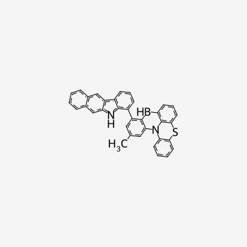 Cc1cc(-c2cccc3c2[nH]c2cc4ccccc4cc23)c2c(c1)N1c3ccccc3Sc3cccc(c31)B2